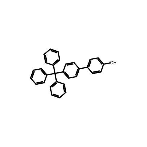 Oc1ccc(-c2ccc(C(c3ccccc3)(c3ccccc3)c3ccccc3)cc2)cc1